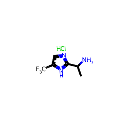 CC(N)c1ncc(C(F)(F)F)[nH]1.Cl